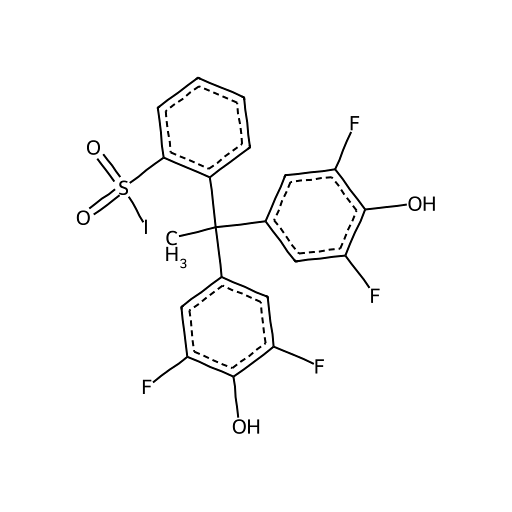 CC(c1cc(F)c(O)c(F)c1)(c1cc(F)c(O)c(F)c1)c1ccccc1S(=O)(=O)I